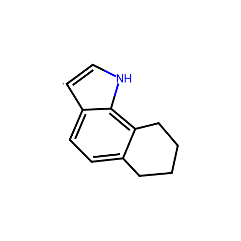 [c]1c[nH]c2c3c(ccc12)CCCC3